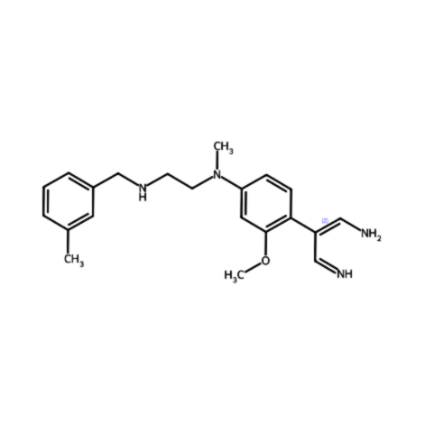 COc1cc(N(C)CCNCc2cccc(C)c2)ccc1/C(C=N)=C/N